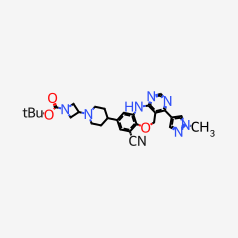 Cn1cc(-c2ncnc3c2COc2c(C#N)cc(C4CCN(C5CN(C(=O)OC(C)(C)C)C5)CC4)cc2N3)cn1